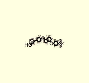 CS(=O)(=O)c1ccc(Oc2cccc3c2CC[C@H]3Oc2ccc(-c3cc(O)ns3)cc2)cc1